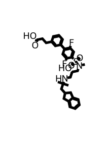 CN(CC(O)CNC(C)(C)CC1Cc2ccccc2C1)S(=O)(=O)c1cc(F)c(-c2cccc(CCC(=O)O)c2)cc1F